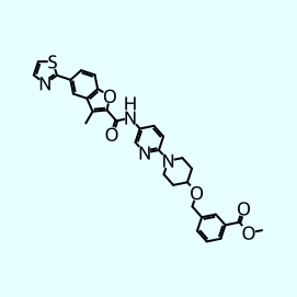 COC(=O)c1cccc(COC2CCN(c3ccc(NC(=O)c4oc5ccc(-c6nccs6)cc5c4C)cn3)CC2)c1